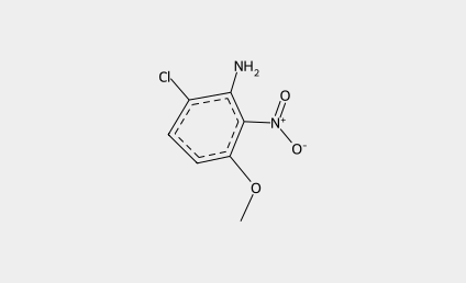 COc1ccc(Cl)c(N)c1[N+](=O)[O-]